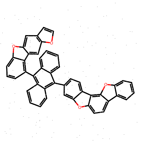 c1ccc2c(c1)oc1c2ccc2oc3cc(-c4c5ccccc5c(-c5cccc6oc7cc8ccoc8cc7c56)c5ccccc45)ccc3c21